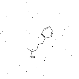 CCCCC(C)CCCc1ccccc1